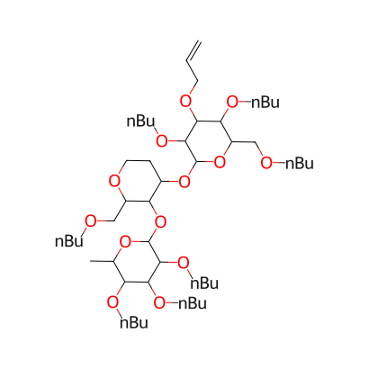 C=CCOC1C(OCCCC)C(COCCCC)OC(OC2CCOC(COCCCC)C2OC2OC(C)C(OCCCC)C(OCCCC)C2OCCCC)C1OCCCC